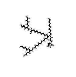 CCCCCCCCCCN(CCCn1ccnc1C)C(CCCCCCCCCOCC(CCCC)CCCCCC)CCCCCCCCCC(=O)OCC(CCCC)CCCCCC